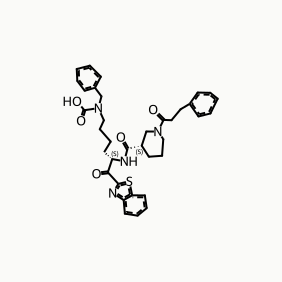 O=C(N[C@@H](CCCCN(Cc1ccccc1)C(=O)O)C(=O)c1nc2ccccc2s1)[C@H]1CCCN(C(=O)CCc2ccccc2)C1